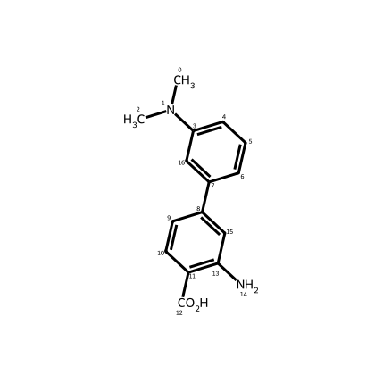 CN(C)c1cccc(-c2ccc(C(=O)O)c(N)c2)c1